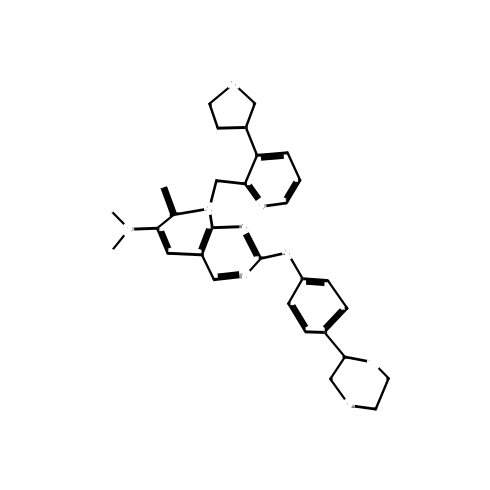 CCN(CC)c1cc2cnc(Nc3ccc(C4CNCCO4)cc3)nc2n(Cc2ncccc2C2CCNC2)c1=O